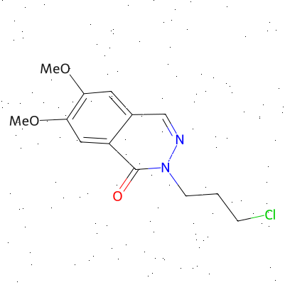 COc1cc2cnn(CCCCl)c(=O)c2cc1OC